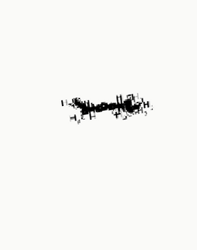 COC(=O)NCC(=O)N1C[C@@H](C)C[C@H]1c1ncc(-c2ccc3cc(-c4ccc(-c5[nH]c([C@@H]6C[C@H](C)CN6C(=O)[C@@H](NC(=O)OC)C(C)C)nc5Cl)cc4)ccc3c2)[nH]1